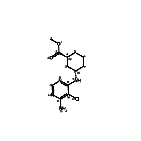 COC(=O)[C@H]1CCC[C@H](Nc2ncnc(N)c2Cl)C1